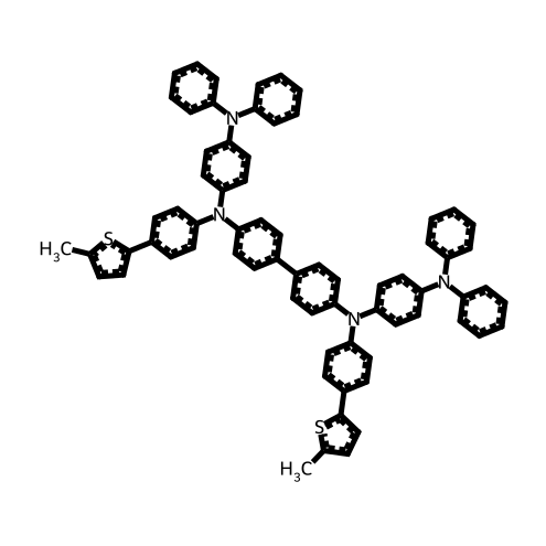 Cc1ccc(-c2ccc(N(c3ccc(-c4ccc(N(c5ccc(-c6ccc(C)s6)cc5)c5ccc(N(c6ccccc6)c6ccccc6)cc5)cc4)cc3)c3ccc(N(c4ccccc4)c4ccccc4)cc3)cc2)s1